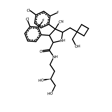 N#CC1(c2ccc(Cl)cc2F)C(CC2(CO)CCC2)NC(C(=O)NCC[C@H](O)CO)C1c1cccc(Cl)c1F